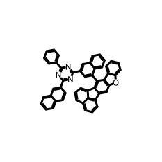 c1ccc(-c2nc(-c3ccc4ccccc4c3)nc(-c3cc(-c4c5c(cc6oc7ccccc7c46)-c4cccc6cccc-5c46)c4ccccc4c3)n2)cc1